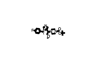 COCC(c1cncn1[C@H](C)c1ccc(F)cc1)N1CCN(C(=O)OC(C)(C)C)CC1